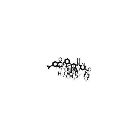 Cn1cc(-c2cccc(-n3ccc4cc(C5CC5)ccc4c3=O)c2C(C)(C)O[SiH2]C(C)(C)C)cc(Nc2ccc(C(=O)N3CCOCC3)cn2)c1=O